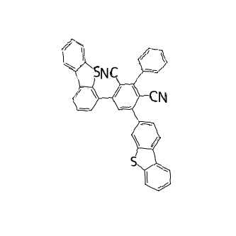 N#Cc1c(-c2ccc3c(c2)sc2ccccc23)cc(-c2cccc3c2sc2ccccc23)c(C#N)c1-c1ccccc1